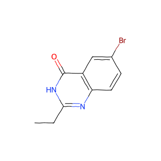 CCc1nc2ccc(Br)cc2c(=O)[nH]1